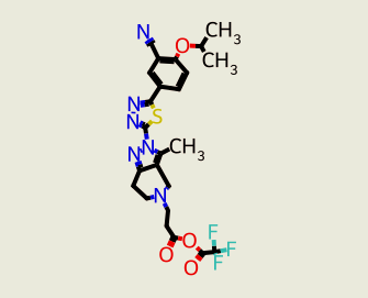 Cc1c2c(nn1-c1nnc(-c3ccc(OC(C)C)c(C#N)c3)s1)CCN(CCC(=O)OC(=O)C(F)(F)F)C2